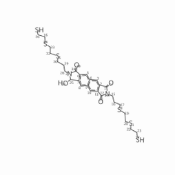 O=C1c2cc3cc4c(cc3cc2C(=O)N1CCCSCCSCCS)C(O)N(CCCSCCSCCS)C4=O